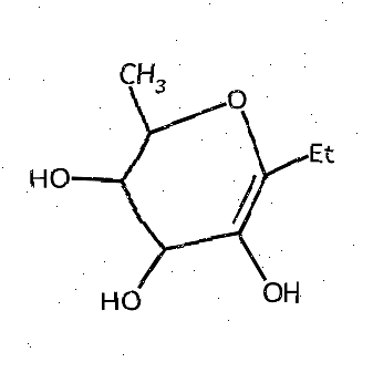 CCC1=C(O)C(O)C(O)C(C)O1